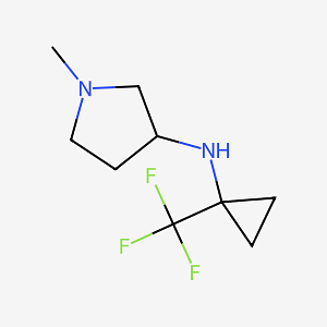 CN1CCC(NC2(C(F)(F)F)CC2)C1